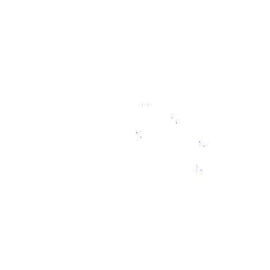 Clc1ccc2oc(Nc3nnco3)nc2c1